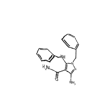 NC(=O)c1c(N)nn(Cc2ccccc2)c1Nc1ccccc1